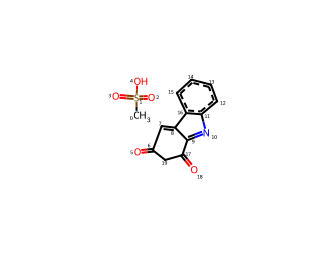 CS(=O)(=O)O.O=C1C=C2C(=Nc3ccccc32)C(=O)C1